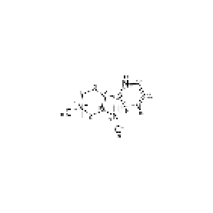 [CH2-][NH+]1CCC2=C(C1)[NH+]([CH2-])c1nccnc12